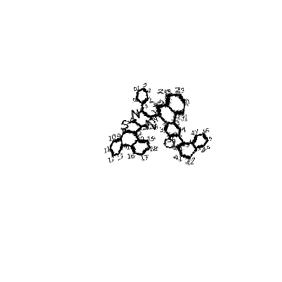 c1ccc(-c2nc3sc4c5ccccc5c5ccccc5c4c3nc2-c2cc3ccccc3c3cc4c(cc23)oc2ccc3ccccc3c24)cc1